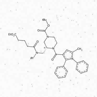 CCOC(=O)CCCC(=O)N(C[C@@H]1CN(C(=O)OC(C)(C)C)CCN1C(=O)c1cc(C)n(-c2ccccc2)c1-c1ccccc1)C(C)C